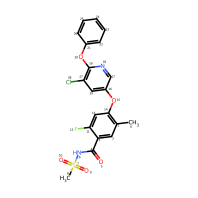 Cc1cc(C(=O)NS(C)(=O)=O)c(F)cc1Oc1cnc(Oc2ccccc2)c(Cl)c1